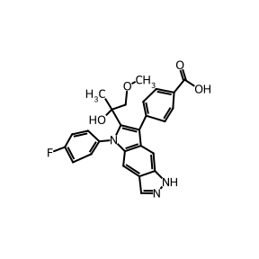 COCC(C)(O)c1c(-c2ccc(C(=O)O)cc2)c2cc3[nH]ncc3cc2n1-c1ccc(F)cc1